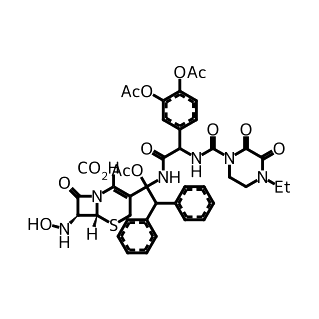 CCN1CCN(C(=O)NC(C(=O)NC(OC(C)=O)(C2=C(C(=O)O)N3C(=O)[C@H](NO)[C@H]3SC2)C(c2ccccc2)c2ccccc2)c2ccc(OC(C)=O)c(OC(C)=O)c2)C(=O)C1=O